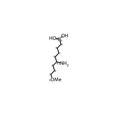 COCCCC(N)CCCCB(O)O